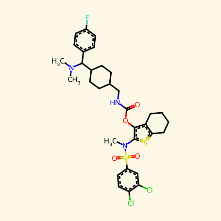 CN(C)C(c1ccc(F)cc1)C1CCC(CNC(=O)Oc2c(N(C)S(=O)(=O)c3ccc(Cl)c(Cl)c3)sc3c2CCCC3)CC1